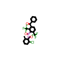 Cc1cccc(Cl)c1C(=O)[PH](=O)c1c(C(F)(F)F)ccc(C(=O)c2ccccc2)c1C(F)(F)F